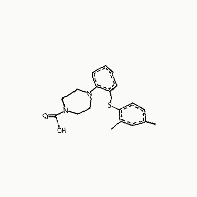 Cc1ccc(Sc2ccccc2N2CCN(C(=O)O)CC2)c(C)c1